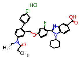 CCC(=O)N(CC)c1ccc(-c2ccc(Cl)cc2)c(COc2ccc(-c3nc4cc(C(=O)O)ccc4n3C3CCCCC3)c(F)c2)c1.Cl